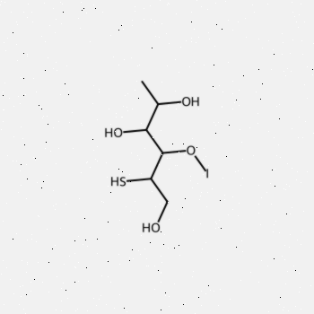 CC(O)C(O)C(OI)C(S)CO